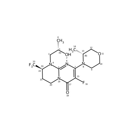 C[C@H](O)CN1c2nc(N3CCOC[C@H]3C)c(F)c(=O)n2CC[C@H]1C(F)(F)F